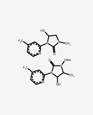 CN1CC(O)N(c2cc(C(F)(F)F)ccn2)C1=O.CON1C(=O)N(c2cc(C(F)(F)F)ccn2)C(O)C1C